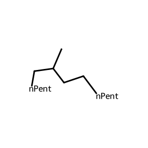 [CH2]CCCCCC(C)CCCCCCC